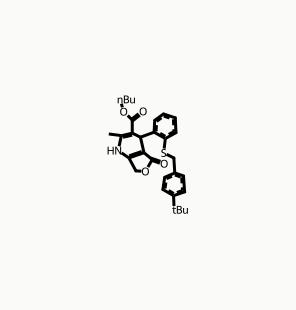 CCCCOC(=O)C1=C(C)NC2=C(C(=O)OC2)C1c1ccccc1SCc1ccc(C(C)(C)C)cc1